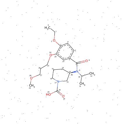 CCOc1ccc(C(=O)N(C(C)C)[C@@H]2CCCN(C(=O)O)C2)cc1OCCCOC